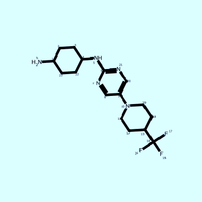 NC1CCC(Nc2ncc(N3CCC(C(F)(F)F)CC3)cn2)CC1